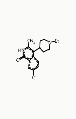 CCN1CCC(c2c(C)[nH]c(=O)c3cc(Cl)ccc23)CC1